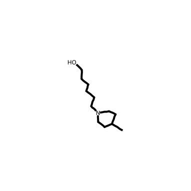 CC1CCN(CCCCCCO)CC1